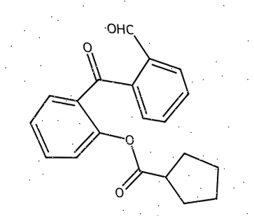 O=[C]c1ccccc1C(=O)c1ccccc1OC(=O)C1CCCC1